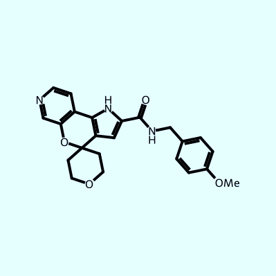 COc1ccc(CNC(=O)c2cc3c([nH]2)-c2ccncc2OC32CCOCC2)cc1